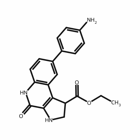 CCOC(=O)C1CNc2c1c1cc(-c3ccc(N)cc3)ccc1[nH]c2=O